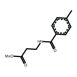 COC(=O)CCNC(=O)c1ccc(C)cc1